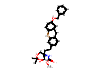 CC(C)(C)OC(=O)NC1(CCc2ccc3c(c2)Sc2ccc(OCc4ccccc4)cc2C3)COC(C)(C)OC1